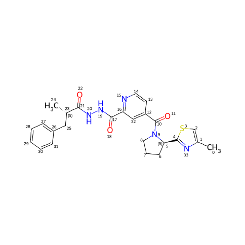 Cc1csc([C@H]2CCCN2C(=O)c2ccnc(C(=O)NNC(=O)[C@@H](C)Cc3ccccc3)c2)n1